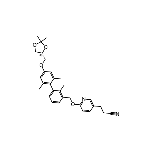 Cc1cc(OC[C@@H]2COC(C)(C)O2)cc(C)c1-c1cccc(COc2ccc(CCC#N)cn2)c1C